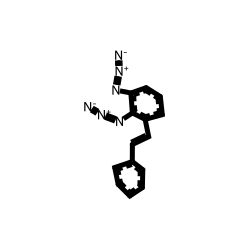 [N-]=[N+]=Nc1cccc(C=Cc2ccccc2)c1N=[N+]=[N-]